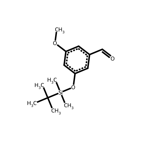 COc1cc(C=O)cc(O[Si](C)(C)C(C)(C)C)c1